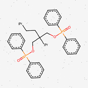 CC(C)CCC(COP(=O)(c1ccccc1)c1ccccc1)(COP(=O)(c1ccccc1)c1ccccc1)C(C)C